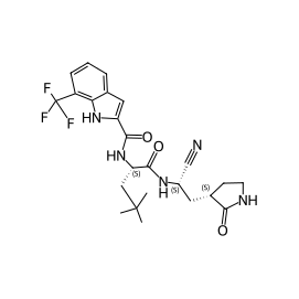 CC(C)(C)C[C@H](NC(=O)c1cc2cccc(C(F)(F)F)c2[nH]1)C(=O)N[C@H](C#N)C[C@@H]1CCNC1=O